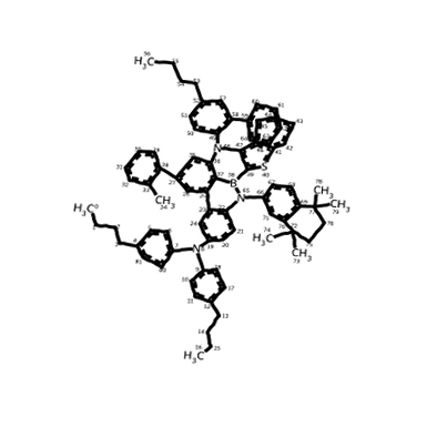 CCCCc1ccc(N(c2ccc(CCCC)cc2)c2ccc3c(c2)-c2cc(-c4ccccc4C)cc4c2B(c2sc5ccccc5c2N4c2ccc(CCCC)cc2-c2ccccc2)N3c2ccc3c(c2)C(C)(C)CCC3(C)C)cc1